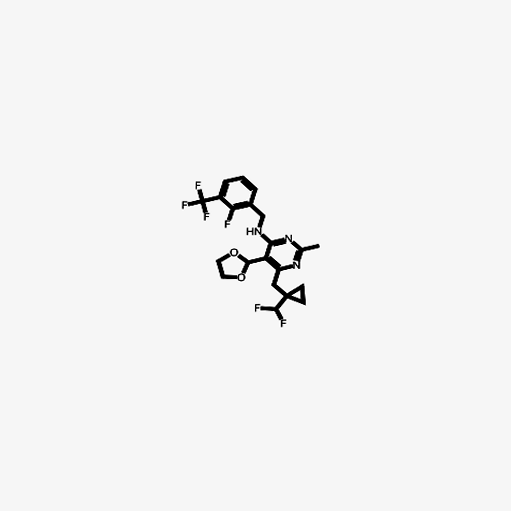 Cc1nc(CC2(C(F)F)CC2)c(C2OCCO2)c(NCc2cccc(C(F)(F)F)c2F)n1